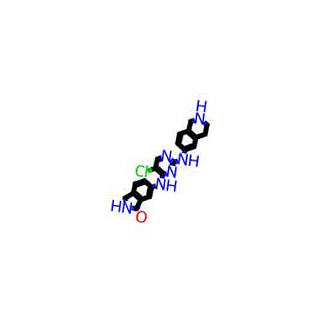 O=C1NCc2ccc(Nc3nc(Nc4ccc5c(c4)CCNC5)ncc3Cl)cc21